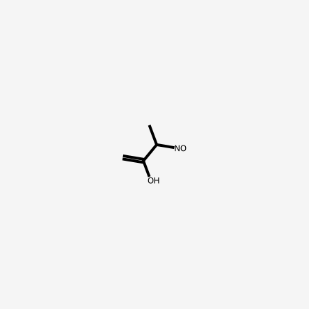 C=C(O)C(C)N=O